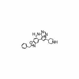 Nc1ncnn2c(C3CCNCC3)cc(-c3ccc4oc(Cc5ccccc5)nc4c3)c12